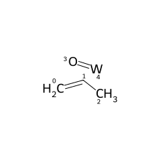 C=CC.[O]=[W]